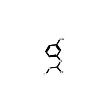 CCOC(CC)Oc1cccc(C(C)CC)c1